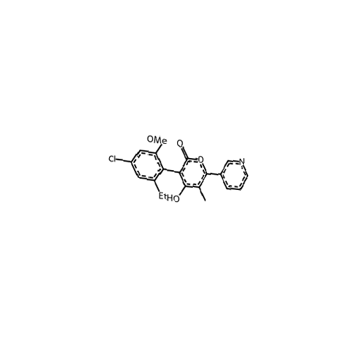 CCc1cc(Cl)cc(OC)c1-c1c(O)c(C)c(-c2cccnc2)oc1=O